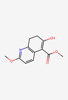 COC(=O)C1=C(O)CCc2nc(OC)ccc21